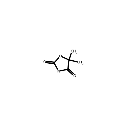 CC1(C)OC(=O)[N]C1=O